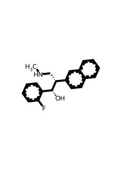 CNC[C@H](c1ccc2ccccc2c1)[C@H](O)c1ccccc1F